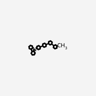 Cc1cccc(-c2cccc(-c3ccc(-c4ccc(-n5c6ccccc6c6ccccc65)cc4)cc3)c2)c1